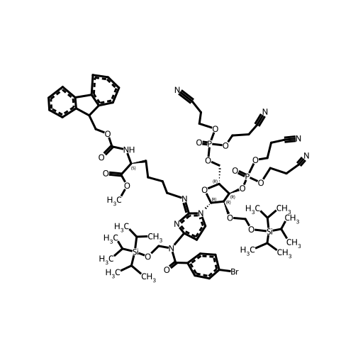 COC(=O)[C@H](CCCCN=c1nc(N(CO[Si](C(C)C)(C(C)C)C(C)C)C(=O)c2ccc(Br)cc2)ccn1[C@@H]1O[C@H](COP(=O)(OCCC#N)OCCC#N)[C@@H](OP(=O)(OCCC#N)OCCC#N)[C@H]1OCO[Si](C(C)C)(C(C)C)C(C)C)NC(=O)OCC1c2ccccc2-c2ccccc21